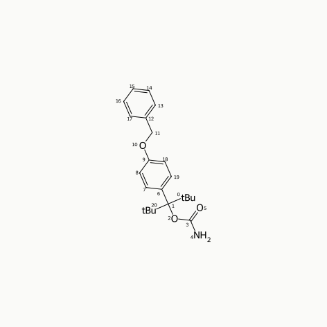 CC(C)(C)C(OC(N)=O)(c1ccc(OCc2ccccc2)cc1)C(C)(C)C